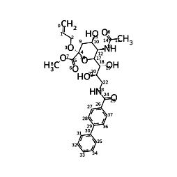 C=CCO[C@]1(C(=O)OC)C[C@@H](O)[C@@H](NC(C)=O)C([C@H](O)[C@H](O)CNC(=O)c2ccc(-c3ccccc3)cc2)O1